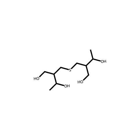 CC(O)C(CO)CSCC(CO)C(C)O